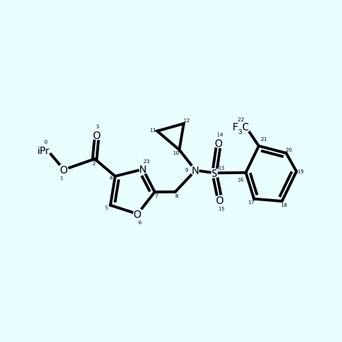 CC(C)OC(=O)c1coc(CN(C2CC2)S(=O)(=O)c2ccccc2C(F)(F)F)n1